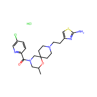 CC1CN(C(=O)c2ccc(Cl)cn2)CC2(CCN(CCc3csc(N)n3)CC2)O1.Cl